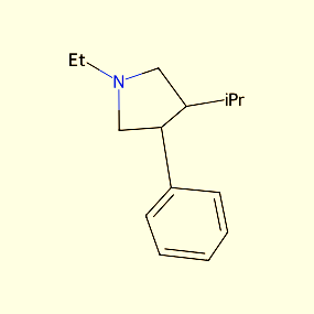 CCN1CC(c2ccccc2)C(C(C)C)C1